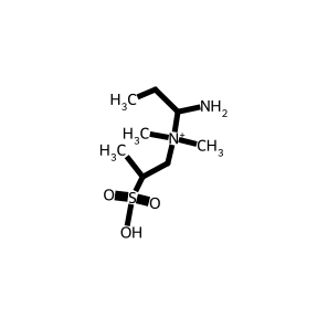 CCC(N)[N+](C)(C)CC(C)S(=O)(=O)O